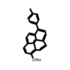 COc1ccc2ccc3c(-c4ccc(C)cc4)ccc4ccc1c2c43